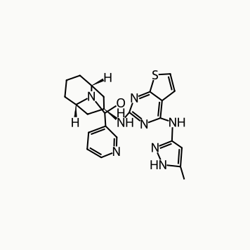 Cc1cc(Nc2nc(N[C@@H]3C[C@H]4CCC[C@@H](C3)N4C(O)c3cccnc3)nc3sccc23)n[nH]1